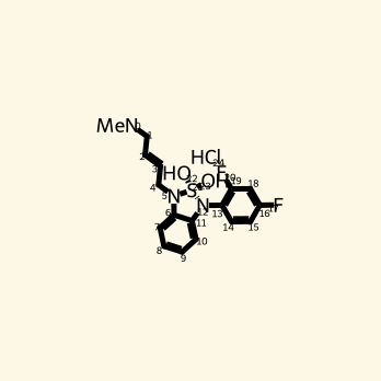 CNCC=CCN1c2ccccc2N(c2ccc(F)cc2F)S1(O)O.Cl